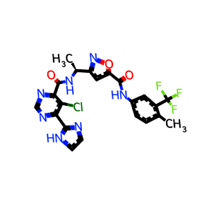 Cc1ccc(NC(=O)c2cc([C@H](C)NC(=O)c3ncnc(-c4ncc[nH]4)c3Cl)no2)cc1C(F)(F)F